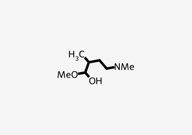 CNCCC(C)C(O)OC